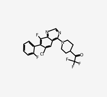 O=C(C1CCN(c2ncnc3c(F)c(-c4ccccc4F)c(Cl)cc23)CC1)C(F)(F)F